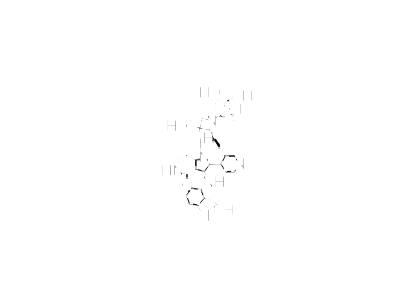 COc1c(Cl)cccc1Nc1c(-c2ccncc2C#CC2N(C(=O)OC(C)(C)C)CC2(C)C)[nH]c2c1C(=O)NCC2